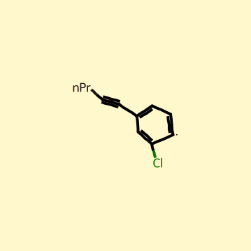 CCCC#Cc1cc[c]c(Cl)c1